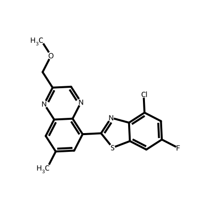 COCc1cnc2c(-c3nc4c(Cl)cc(F)cc4s3)cc(C)cc2n1